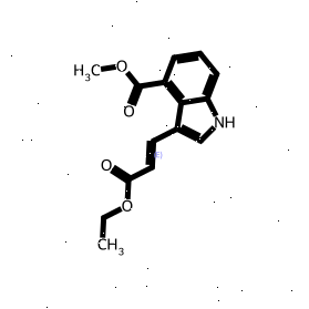 CCOC(=O)/C=C/c1c[nH]c2cccc(C(=O)OC)c12